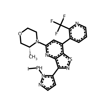 C[C@@H]1COCCN1c1cc(-c2cccnc2C(F)(F)F)c2snc(-c3ccnn3PI)c2n1